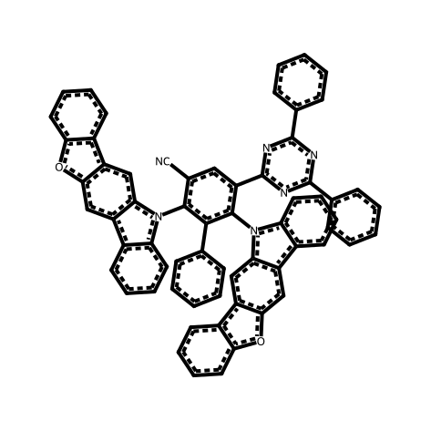 N#Cc1cc(-c2nc(-c3ccccc3)nc(-c3ccccc3)n2)c(-n2c3ccccc3c3cc4oc5ccccc5c4cc32)c(-c2ccccc2)c1-n1c2ccccc2c2cc3oc4ccccc4c3cc21